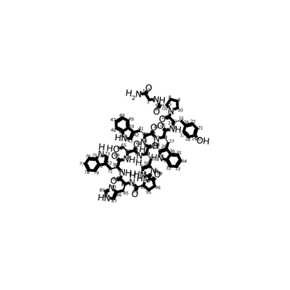 NC(=O)CNC(=O)[C@@H]1CCCN1C(=O)[C@H](Cc1ccc(O)cc1)NC(=O)[C@H](Cc1c[nH]c2ccccc12)NC(=O)[C@@H](Cc1c[nH]c2ccccc12)NC(=O)[C@H](Cc1c[nH]cn1)NC(=O)[C@H](CO)NC(=O)[C@H](Cc1c[nH]c2ccccc12)NC(=O)[C@H](Cc1c[nH]cn1)NC(=O)[C@@H]1CCC(=O)N1